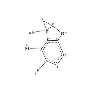 CCc1c(F)ccc2c1[C@H]1CC1O2